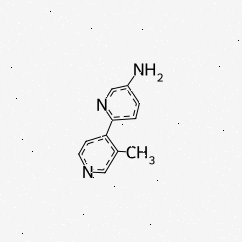 Cc1cnccc1-c1ccc(N)cn1